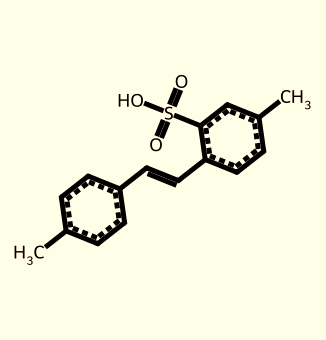 Cc1ccc(C=Cc2ccc(C)cc2S(=O)(=O)O)cc1